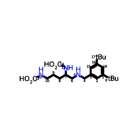 CC(C)(C)c1cc(CNCC(CCCNC(=O)O)NC(=O)O)cc(C(C)(C)C)c1